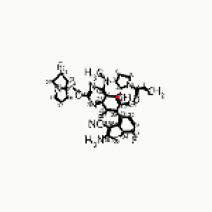 C=CC(=O)N1CC[C@@H](N(C)c2nc(OC[C@]34CCCN3C[C@H](F)C4)nc3c(F)c(-c4ccc(F)c5sc(N)c(C#N)c45)c(Cl)cc23)[C@H]1C